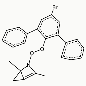 CC1=C2CC2(C)N1OOc1c(-c2ccccc2)cc(Br)cc1-c1ccccc1